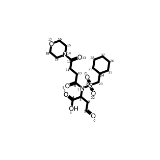 O=CCC(C(=O)O)N(C(=O)CCC(=O)N1CCOCC1)S(=O)(=O)CC1CCCCC1